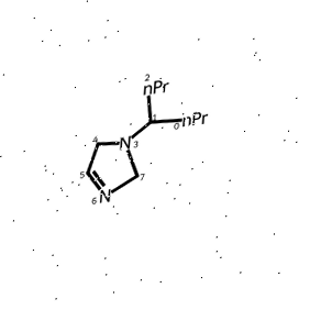 CCCC(CCC)N1CC=NC1